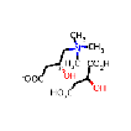 C[N+](C)(C)C[C@H](O)CC(=O)[O-].O=C(O)CC(O)C(=O)O